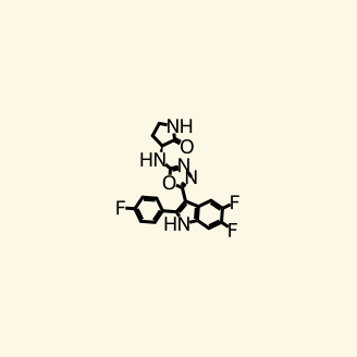 O=C1NCC[C@@H]1Nc1nnc(-c2c(-c3ccc(F)cc3)[nH]c3cc(F)c(F)cc23)o1